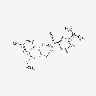 CCOc1cc(Cl)ccc1C1CCCN(C(=O)c2cnnc(N(C)C)c2)C1